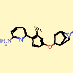 CC(C)c1cc(OC2CC3CC2CN3C)ccc1-c1cccc(N)n1